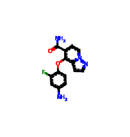 NC(=O)c1[c]cn2nccc2c1Oc1ccc(N)cc1F